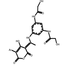 CC(=O)C1=C(O)C(=C(C)Nc2cc(NC(=O)CO)cc(NC(=O)CO)c2)C(=O)OC1=O